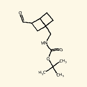 CC(C)(C)OC(=O)NCC12CCC1C(C=O)C2